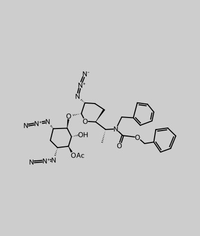 CC(=O)O[C@@H]1[C@@H](O)[C@H](O[C@H]2O[C@H]([C@@H](C)N(Cc3ccccc3)C(=O)OCc3ccccc3)CC[C@H]2N=[N+]=[N-])[C@@H](N=[N+]=[N-])C[C@H]1N=[N+]=[N-]